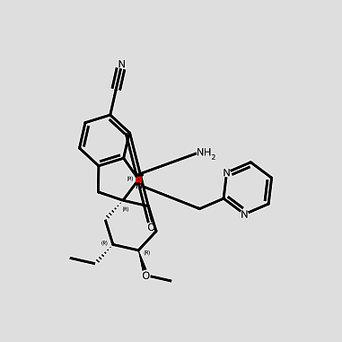 CC[C@@H]1C[C@]2(CC[C@H]1OC)Cc1ccc(C#N)cc1[C@]21N=C(N)N(Cc2ncccn2)C1=O